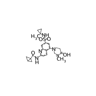 C[C@H]1CN(c2cc(S(=O)(=O)NC3(C)CC3)cc3nc(NC(=O)C45CC4C5)ccc23)CC[C@@H]1O